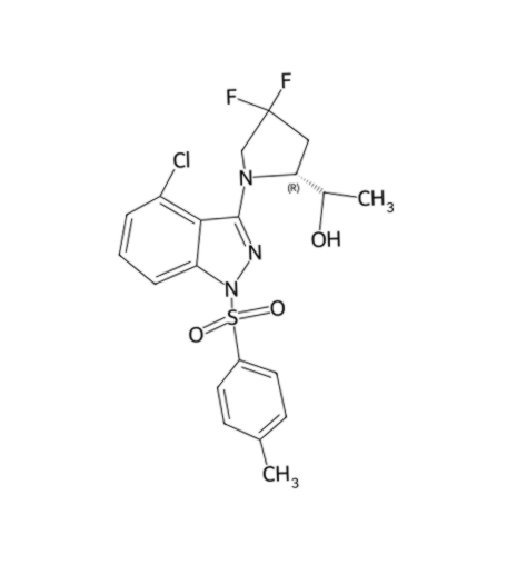 Cc1ccc(S(=O)(=O)n2nc(N3CC(F)(F)C[C@@H]3C(C)O)c3c(Cl)cccc32)cc1